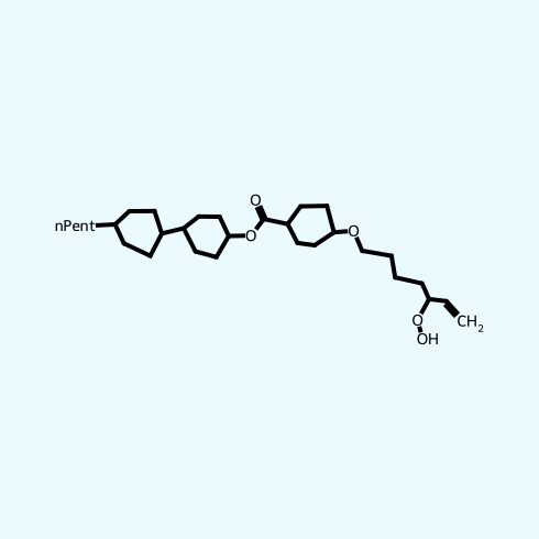 C=CC(CCCCOC1CCC(C(=O)OC2CCC(C3CCC(CCCCC)CC3)CC2)CC1)OO